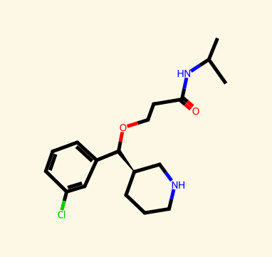 CC(C)NC(=O)CCOC(c1cccc(Cl)c1)[C@@H]1CCCNC1